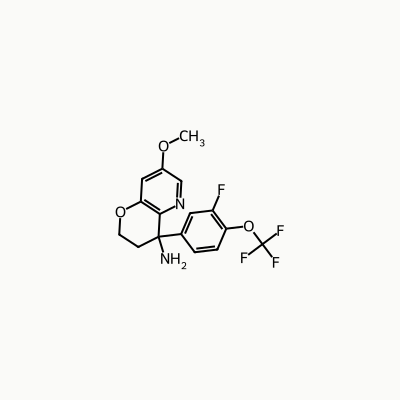 COc1cnc2c(c1)OCCC2(N)c1ccc(OC(F)(F)F)c(F)c1